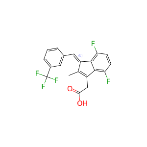 CC1=C(CC(=O)O)c2c(F)ccc(F)c2/C1=C/c1cccc(C(F)(F)F)c1